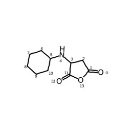 O=C1CC(NC2CCCCC2)C(=O)O1